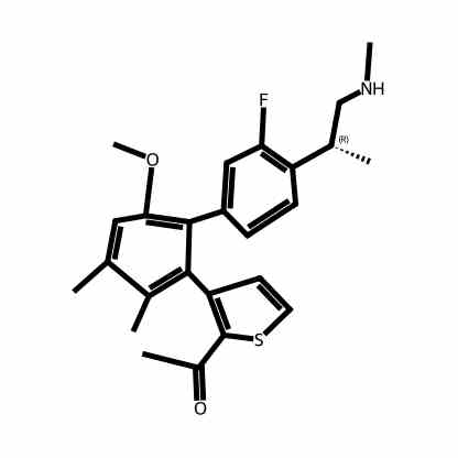 CNC[C@H](C)c1ccc(-c2c(OC)cc(C)c(C)c2-c2ccsc2C(C)=O)cc1F